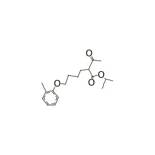 CC(=O)C(CCCCOc1ccccc1C)C(=O)OC(C)C